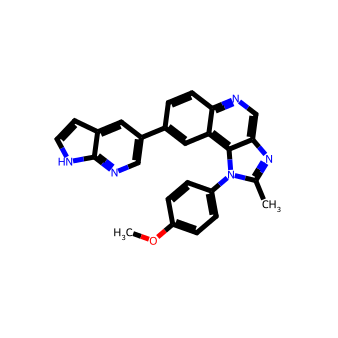 COc1ccc(-n2c(C)nc3cnc4ccc(-c5cnc6[nH]ccc6c5)cc4c32)cc1